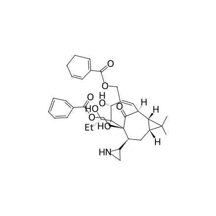 CC[C@H](O)[C@@]1(O)[C@H](O)C(COC(=O)C2=CCCC=C2)=C[C@@H]2C(=O)[C@]1(CCOC(=O)c1ccccc1)[C@H](C1CN1)C[C@@H]1[C@H]2C1(C)C